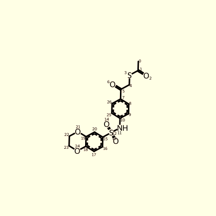 CC(=O)SCC(=O)c1ccc(NS(=O)(=O)c2ccc3c(c2)OCCO3)cc1